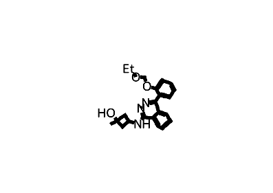 CCOCOc1ccccc1-c1nnc(NC2CC(C)(O)C2)c2ccccc12